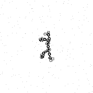 O=C(OC(COc1cccc(CN2CCOC2=O)c1)CN1CCC(c2ccc(Cl)c(Cl)c2)CC1)c1ccc(C(=O)OC(COc2cccc(CN3CCOC3=O)c2)CN2CCC(c3ccc(Cl)c(Cl)c3)CC2)cc1